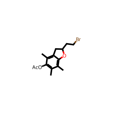 CC(=O)Oc1c(C)c(C)c2c(c1C)CC(CCBr)O2